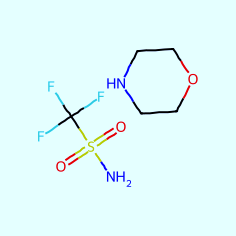 C1COCCN1.NS(=O)(=O)C(F)(F)F